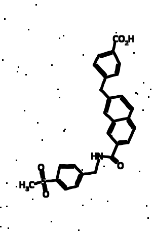 CS(=O)(=O)c1ccc(CNC(=O)c2ccc3ccc(Cc4ccc(C(=O)O)cc4)cc3c2)cc1